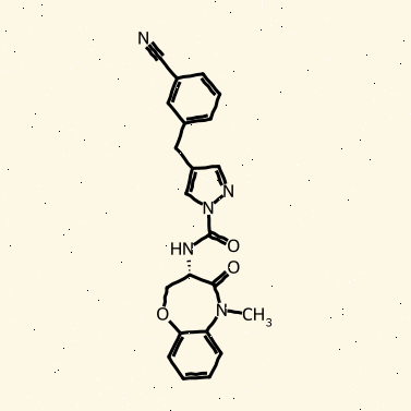 CN1C(=O)[C@@H](NC(=O)n2cc(Cc3cccc(C#N)c3)cn2)COc2ccccc21